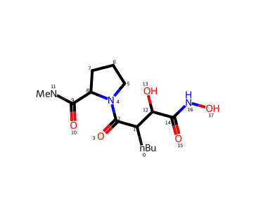 CCCCC(C(=O)N1CCCC1C(=O)NC)C(O)C(=O)NO